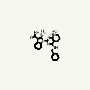 Cc1c(C(N)=O)c2ccccc2n1-c1nc2c(c(NCc3ccccc3)n1)CCCN2.Cl